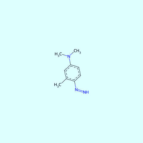 Cc1cc(N(C)C)ccc1N=N